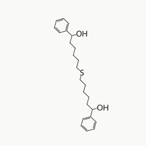 OC(CCCCCSCCCCCC(O)c1ccccc1)c1ccccc1